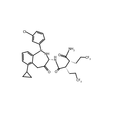 NC(=O)[C@H](CCC(F)(F)F)[C@H](CCC(F)(F)F)C(=O)N[C@H]1NN(c2cccc(Cl)c2)c2cccc(C3CC3)c2CC1=O